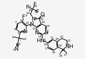 CC(C)(C#N)c1ccc(F)c(-n2c3nc(Nc4ccc5c(c4)CCNC5(C)C)ncc3c(=O)n2CC(F)(F)F)n1